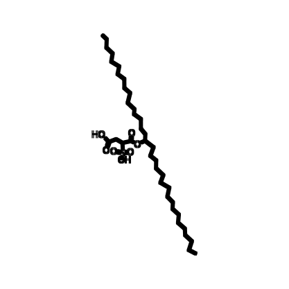 CCCCCCCCCCCCCCCCCC(CCCCCCCCCCCCCCCC)OC(=O)C(CC(=O)O)S(=O)(=O)O